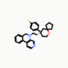 Fc1ccc([C@]2(CCNCc3ccccc3-c3ccncc3)CCOC3(CCCC3)C2)cc1